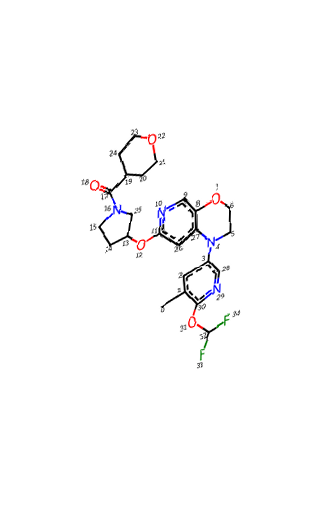 Cc1cc(N2CCOc3cnc(OC4CCN(C(=O)C5CCOCC5)C4)cc32)cnc1OC(F)F